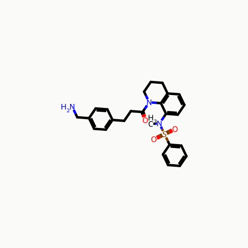 CN(c1cccc2c1N(C(=O)CCc1ccc(CN)cc1)CCC2)S(=O)(=O)c1ccccc1